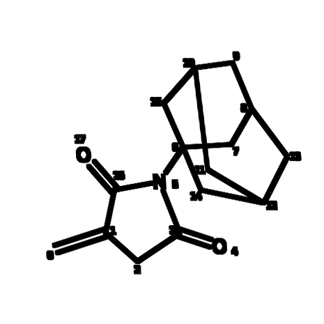 C=C1CC(=O)N(C23CC4CC(CC(C4)C2)C3)C1=O